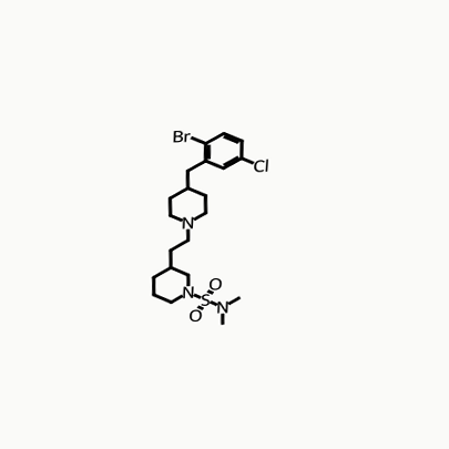 CN(C)S(=O)(=O)N1CCCC(CCN2CCC(Cc3cc(Cl)ccc3Br)CC2)C1